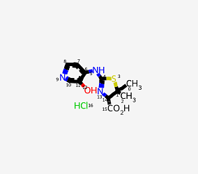 CC1(C)SC(Nc2ccncc2O)=NC1C(=O)O.Cl